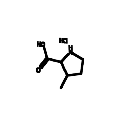 CC1CCNC1C(=O)O.Cl